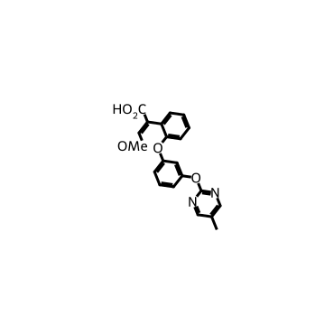 CO/C=C(/C(=O)O)c1ccccc1Oc1cccc(Oc2ncc(C)cn2)c1